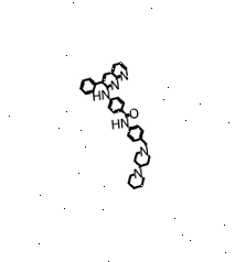 O=C(Nc1ccc(CN2CCC(N3CCCCC3)CC2)cc1)c1ccc(Nc2nc3ncccc3cc2-c2ccccc2)cc1